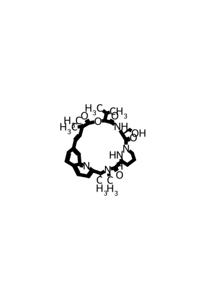 CC(C)C1OC(=O)C(C)(C)/C=C/c2ccc3ccc(nc3c2)[C@@H](C)N(C)C(=O)[C@@H]2CCCN(N2)C(=O)[C@H](CO)NC1=O